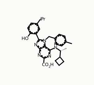 Cc1ccc(Cn2c(-c3cc(C(C)C)ccc3O)nc3nc(C(=O)O)nc(N[C@H](C)C4CCC4)c32)cc1